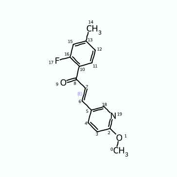 COc1ccc(/C=C/C(=O)c2ccc(C)cc2F)cn1